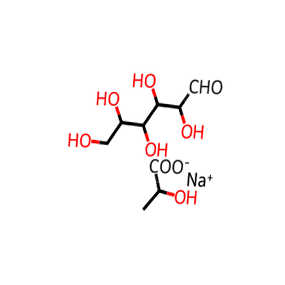 CC(O)C(=O)[O-].O=CC(O)C(O)C(O)C(O)CO.[Na+]